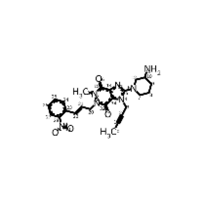 CC#CCn1c(N2CCCC(N)C2)nc2c(=O)n(C)n(CC=Cc3ccccc3[N+](=O)[O-])c(=O)c21